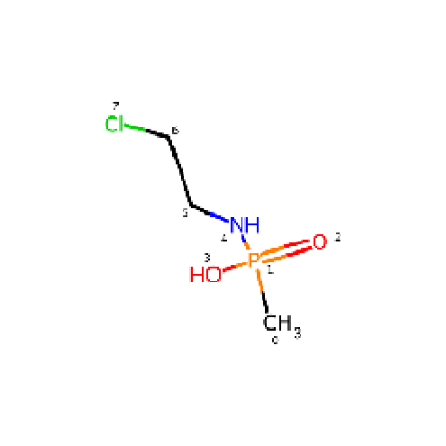 CP(=O)(O)NCCCl